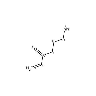 [CH2]CCCC[CH]C(=O)C=C